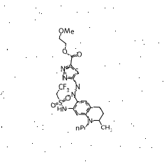 CCCN1c2cc(NS(=O)(=O)CC(F)(F)F)c(N=Nc3nnc(C(=O)OCCOC)s3)cc2CCC1C